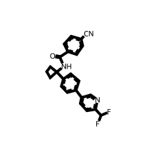 N#Cc1ccc(C(=O)NC2(c3ccc(-c4ccc(C(F)F)nc4)cc3)CCC2)cc1